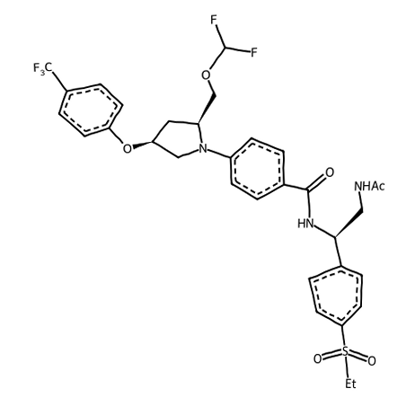 CCS(=O)(=O)c1ccc([C@H](CNC(C)=O)NC(=O)c2ccc(N3C[C@@H](Oc4ccc(C(F)(F)F)cc4)C[C@H]3COC(F)F)cc2)cc1